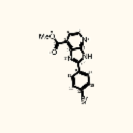 COC(=O)c1ccnc2[nH]c(-c3ccc(Br)cc3)nc12